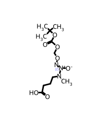 CN(CCCC(=O)O)/[N+]([O-])=N/OCOC(=O)OC(C)(C)C